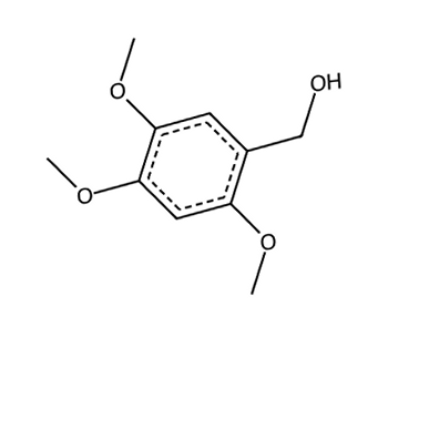 COc1cc(OC)c(OC)cc1CO